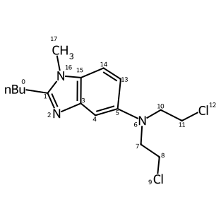 CCCCc1nc2cc(N(CCCl)CCCl)ccc2n1C